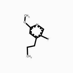 CCCc1cc(OC)ncc1F